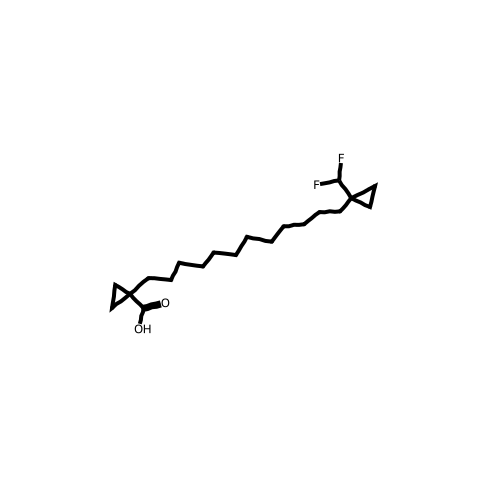 O=C(O)C1(CCCCCCCCCCCCC2(C(F)F)CC2)CC1